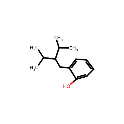 CC(C)C(Cc1ccccc1O)C(C)C